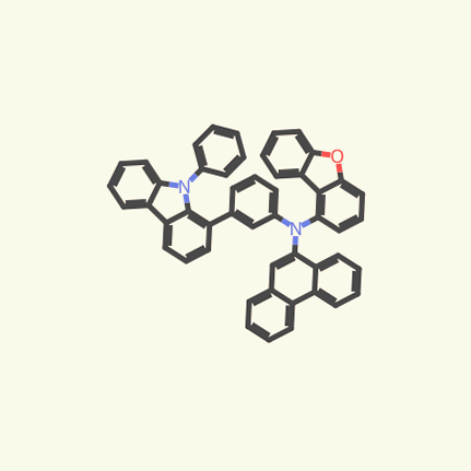 c1ccc(-n2c3ccccc3c3cccc(-c4cccc(N(c5cc6ccccc6c6ccccc56)c5cccc6oc7ccccc7c56)c4)c32)cc1